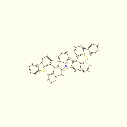 c1ccc2c(-c3cccc4c3sc3ccccc34)c3c4cccc5c6c(-c7cccc8c7sc7ccccc78)c7ccccc7cc6n(c3cc2c1)c45